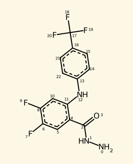 NNC(=O)c1cc(F)c(F)cc1Nc1ccc(C(F)(F)F)cc1